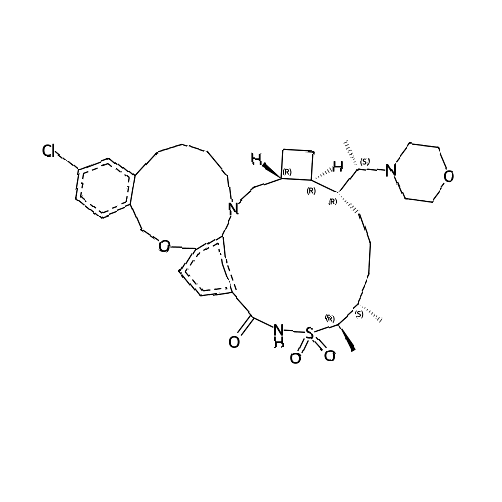 C[C@@H]1[C@@H](C)CCC[C@@H]([C@H](C)N2CCOCC2)[C@@H]2CC[C@H]2CN2CCCCc3cc(Cl)ccc3COc3ccc(cc32)C(=O)NS1(=O)=O